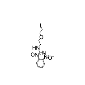 [O-][n+]1nc(NCCOCCI)[n+]([O-])c2ccccc21